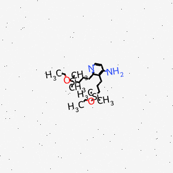 CCO[Si](C)(C)CCCc1nccc(N)c1CCC[Si](C)(C)OCC